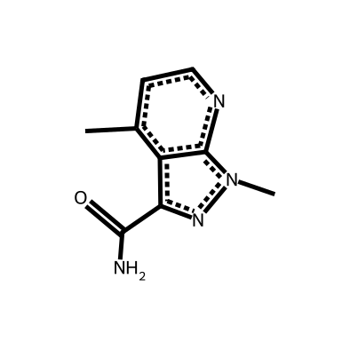 Cc1ccnc2c1c(C(N)=O)nn2C